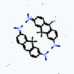 CCC1=C2C=CC(=[N+](C)C)C=C2C(C)(C)c2cc(N(C)C)ccc21.CN(C)c1ccc2c(c1)C(C)(C)C1=CC(=[N+](C)C)C=CC1=C2